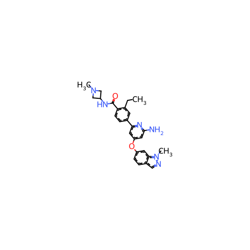 CCc1cc(-c2cc(Oc3ccc4cnn(C)c4c3)cc(N)n2)ccc1C(=O)NC1CN(C)C1